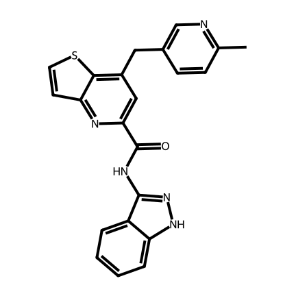 Cc1ccc(Cc2cc(C(=O)Nc3n[nH]c4ccccc34)nc3ccsc23)cn1